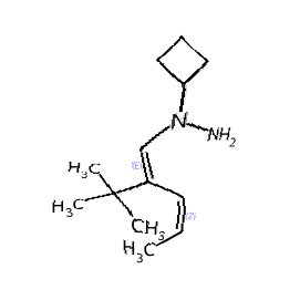 C/C=C\C(=C/N(N)C1CCC1)C(C)(C)C